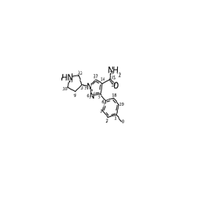 Cc1ccc(-c2nn(C3CCNC3)cc2C(N)=O)cc1